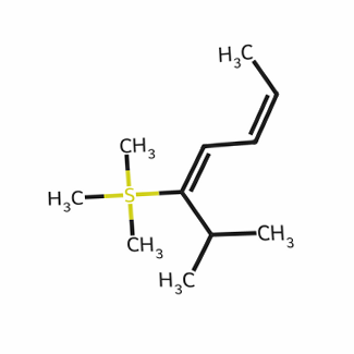 C/C=C\C=C(/C(C)C)S(C)(C)C